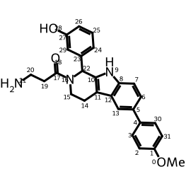 COc1ccc(-c2ccc3[nH]c4c(c3c2)CCN(C(=O)CCN)C4c2cccc(O)c2)cc1